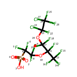 O=S(=O)(O)C(F)(F)C(F)(F)OC(F)(C(F)(F)F)C(F)(F)OC(F)(Cl)C(F)(F)Cl